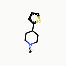 CC(C)N1CCC(c2cccs2)CC1